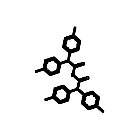 Cc1ccc(B(C(=O)OC(=O)B(c2ccc(C)cc2)c2ccc(C)cc2)c2ccc(C)cc2)cc1